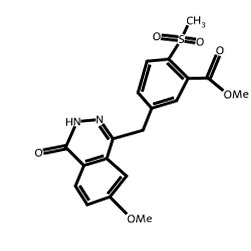 COC(=O)c1cc(Cc2n[nH]c(=O)c3ccc(OC)cc23)ccc1S(C)(=O)=O